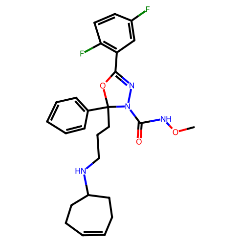 CONC(=O)N1N=C(c2cc(F)ccc2F)OC1(CCCNC1CCC=CCC1)c1ccccc1